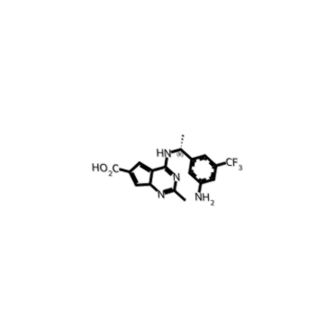 CC1=NC2C=C(C(=O)O)C=C2C(N[C@H](C)c2cc(N)cc(C(F)(F)F)c2)=N1